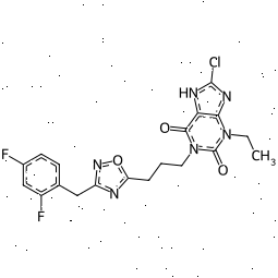 CCn1c(=O)n(CCCc2nc(Cc3ccc(F)cc3F)no2)c(=O)c2[nH]c(Cl)nc21